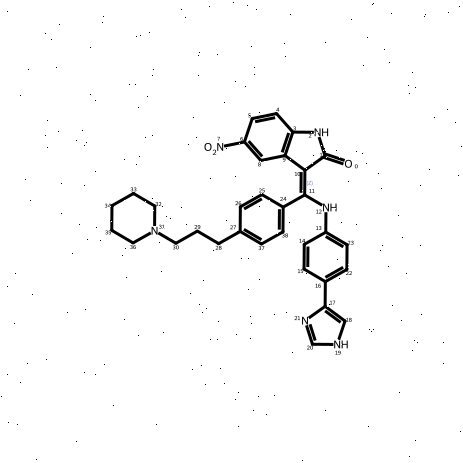 O=C1Nc2ccc([N+](=O)[O-])cc2/C1=C(/Nc1ccc(-c2c[nH]cn2)cc1)c1ccc(CCCN2CCCCC2)cc1